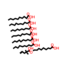 C=CCC(C)(C)C(=O)O.CCCCCCCCCC(=O)O.CCCCCCCCCC(=O)O.CCCCCCCCCC(=O)O.CCCCCCCCCC(=O)O.CCCCCCCCCC(=O)O.CCCCCCCCCC(=O)O.CCCCCCCCCC(=O)O